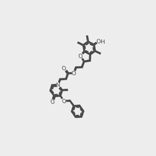 Cc1c(C)c2c(c(C)c1O)CC(CCOC(=O)CCn1ccc(=O)c(OCc3ccccc3)c1C)O2